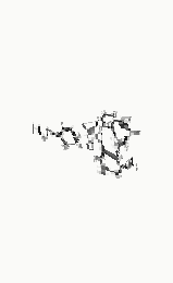 Cc1ccc(S(=O)(=O)Oc2cccc(C)c2-c2cccc3ccccc23)cc1